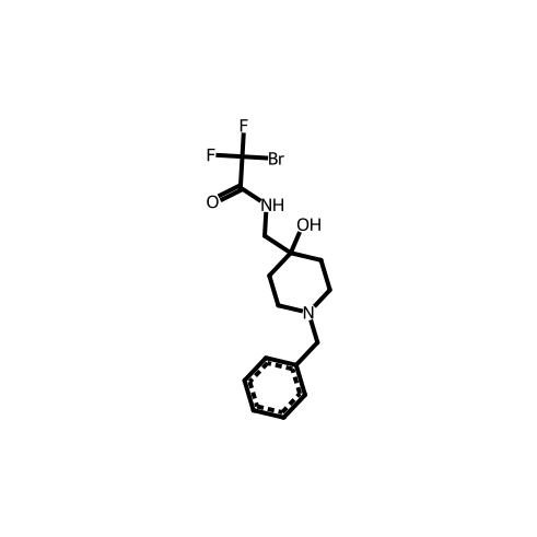 O=C(NCC1(O)CCN(Cc2ccccc2)CC1)C(F)(F)Br